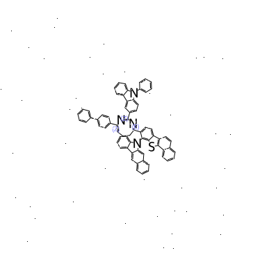 C1=C(c2ccc(-c3ccccc3)cc2)/N=C(c2ccc3c(c2)c2ccccc2n3-c2ccccc2)\N=C(\c2ccc3c(sc4c5ccccc5ccc34)c2-n2c3ccccc3c3cc4ccccc4cc32)CC\1